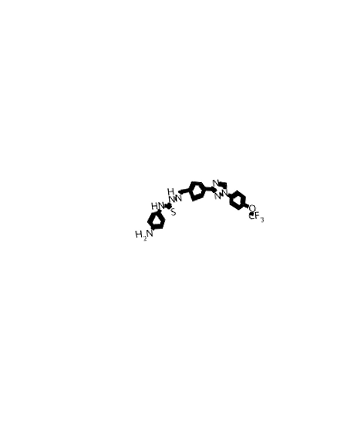 Nc1ccc(NC(=S)N/N=C/c2ccc(-c3ncn(-c4ccc(OC(F)(F)F)cc4)n3)cc2)cc1